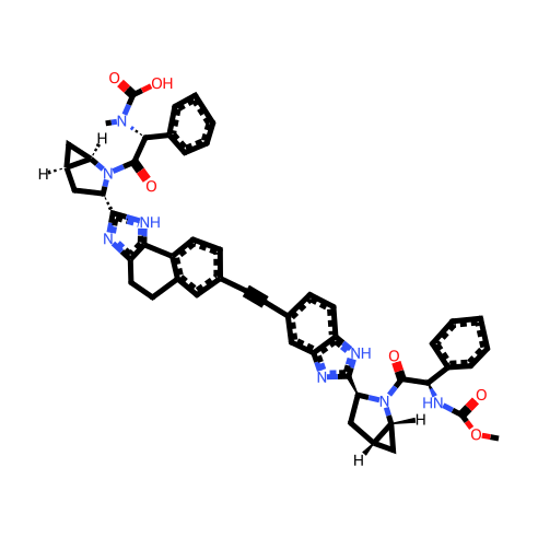 COC(=O)N[C@@H](C(=O)N1[C@@H]2C[C@@H]2C[C@H]1c1nc2cc(C#Cc3ccc4c(c3)CCc3nc([C@@H]5C[C@H]6C[C@H]6N5C(=O)[C@@H](c5ccccc5)N(C)C(=O)O)[nH]c3-4)ccc2[nH]1)c1ccccc1